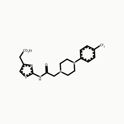 CCOC(=O)Cc1csc(NC(=O)CN2CCN(c3ccc(C(F)(F)F)cc3)CC2)n1